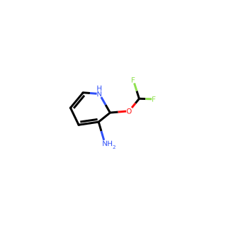 NC1=CC=CNC1OC(F)F